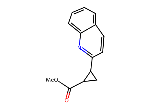 COC(=O)C1CC1c1ccc2ccccc2n1